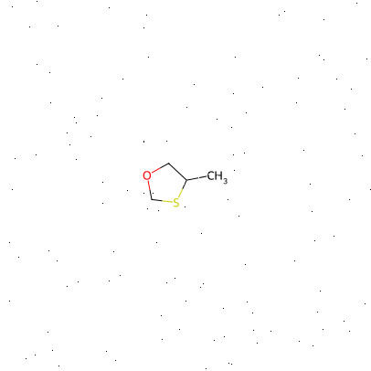 CC1COCS1